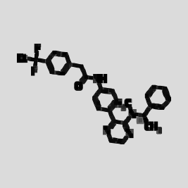 CCC(F)(F)c1ccc(CC(=O)Nc2ccc(-c3nccnc3N(C)[C@H](C)c3ccccc3)cc2)cc1